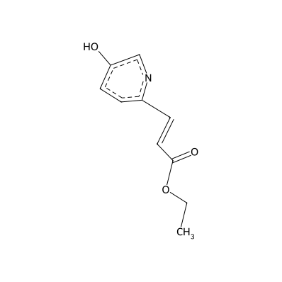 CCOC(=O)/C=C/c1ccc(O)cn1